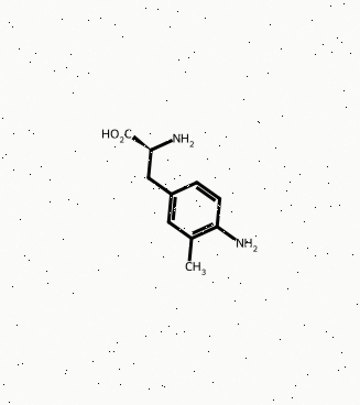 Cc1cc(C[C@H](N)C(=O)O)ccc1N